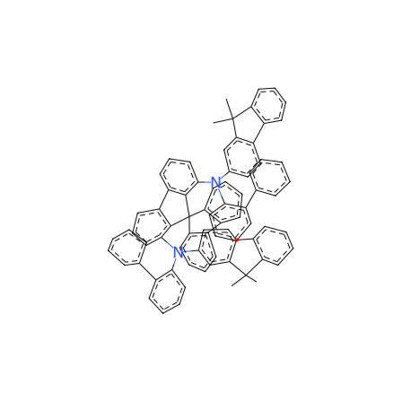 CC1(C)c2ccccc2-c2ccc(N(c3ccccc3-c3ccccc3)c3cccc4c3C3(c5ccccc5-c5ccccc53)c3c-4cccc3N(c3ccc4c(c3)C(C)(C)c3ccccc3-4)c3ccccc3-c3ccccc3)cc21